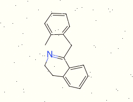 Cc1ccccc1CC1=NCCc2ccccc21